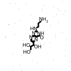 NCCCNc1nc2ncc([C@H](O)[C@H](O)CO)nc2c(=O)[nH]1